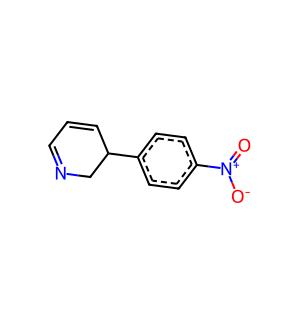 O=[N+]([O-])c1ccc(C2C=CC=NC2)cc1